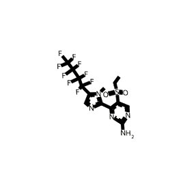 CCS(=O)(=O)c1cnc(N)nc1-c1ncc(C(F)(F)C(F)(F)C(F)(F)C(F)(F)F)n1C